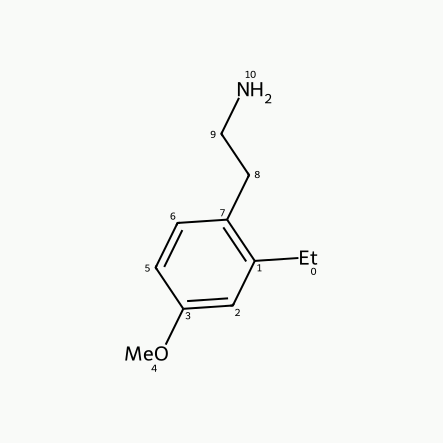 CCc1cc(OC)ccc1CCN